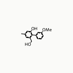 COc1cccc(-c2c(O)cc(C)cc2CO)c1